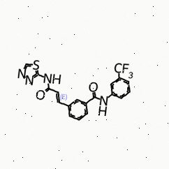 O=C(/C=C/c1cccc(C(=O)Nc2cccc(C(F)(F)F)c2)c1)Nc1nncs1